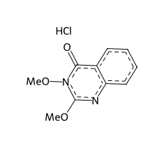 COc1nc2ccccc2c(=O)n1OC.Cl